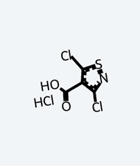 Cl.O=C(O)c1c(Cl)nsc1Cl